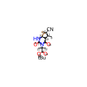 Cc1c(C#N)sc2[nH]c(=O)n(C(C)(C)C(=O)OC(C)(C)C)c(=O)c12